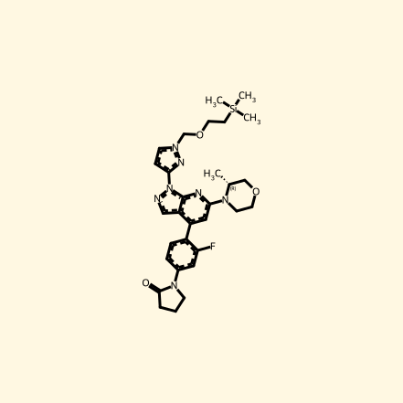 C[C@@H]1COCCN1c1cc(-c2ccc(N3CCCC3=O)cc2F)c2cnn(-c3ccn(COCC[Si](C)(C)C)n3)c2n1